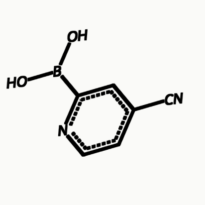 N#Cc1ccnc(B(O)O)c1